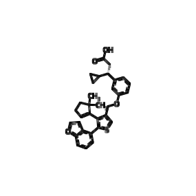 CC1(C)CCC=C1c1c(COc2cccc([C@@H](CC(=O)O)C3CC3)c2)csc1-c1cccc2occc12